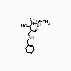 CCNN(C)C(O)C(C=O)CNCC1=CCCCC1